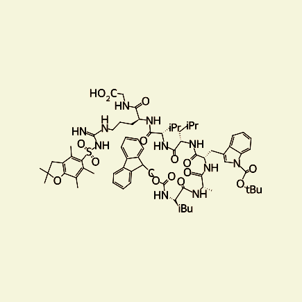 CC[C@H](C)[C@H](NC(=O)OCC1c2ccccc2-c2ccccc21)C(=O)N[C@@H](C)C(=O)N[C@@H](Cc1cn(C(=O)OC(C)(C)C)c2ccccc12)C(=O)N[C@@H](CC(C)C)C(=O)N[C@H](C(=O)N[C@@H](CCCNC(=N)NS(=O)(=O)c1c(C)c(C)c2c(c1C)CC(C)(C)O2)C(=O)NCC(=O)O)C(C)C